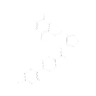 O=C(O)c1ccc(Cl)cc1NC[C@@H]1CCC[C@@H]1NC(=O)C1CCN(c2ccc(C(F)(F)F)cc2)CC1